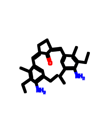 CCc1cc(C=C2CCC(=Cc3cc(CC)c(N)c(CC)c3C)C2=O)c(C)c(CC)c1N